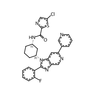 O=C(N[C@H]1CCC[C@@H](n2c(-c3ccccc3F)nc3cnc(-c4cccnc4)cc32)C1)c1ncc(Cl)s1